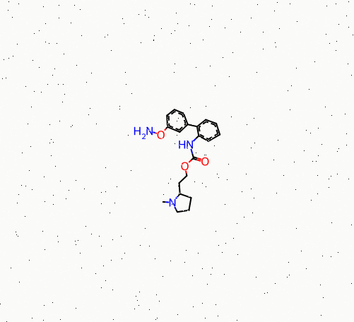 CN1CCCC1CCOC(=O)Nc1ccccc1-c1cccc(ON)c1